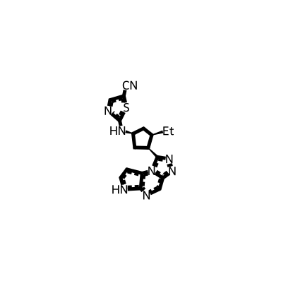 CC[C@@H]1C[C@H](Nc2ncc(C#N)s2)C[C@@H]1c1nnc2cnc3[nH]ccc3n12